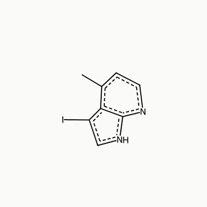 Cc1ccnc2[nH]cc(I)c12